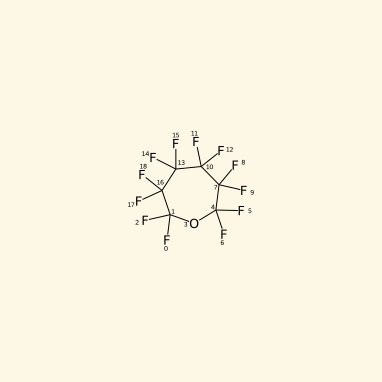 FC1(F)OC(F)(F)C(F)(F)C(F)(F)C(F)(F)C1(F)F